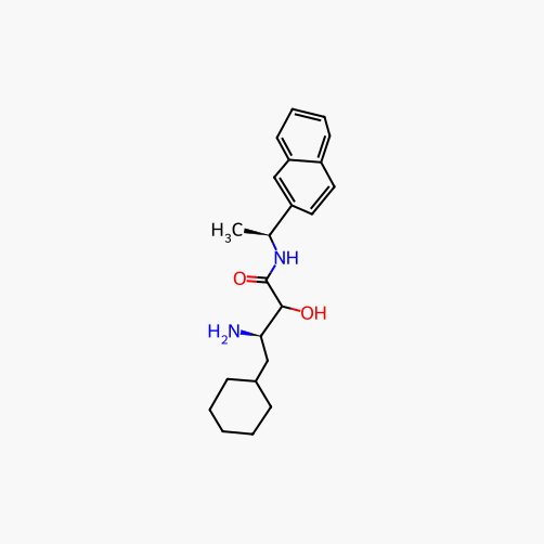 C[C@H](NC(=O)C(O)[C@H](N)CC1CCCCC1)c1ccc2ccccc2c1